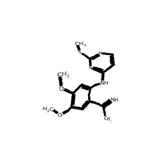 COc1cc(Nc2ccnc(SC)n2)c(C(C)=N)cc1OC